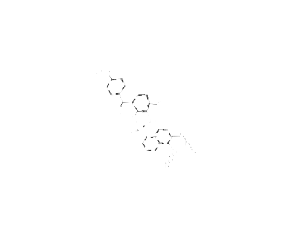 [N-]=[N+]=Nc1ccc2c(S(=O)(=O)Oc3c(C(=O)c4ccc(O)cc4)ccc(O)c3O)cccc2c1N=[N+]=[N-]